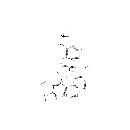 COc1ccc(/C=C\c2cc(OC)c(OC)c(OC)c2)cc1NS(=O)(=O)c1cccc(OC(F)(F)F)c1